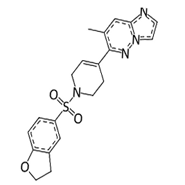 Cc1cc2nccn2nc1C1=CCN(S(=O)(=O)c2ccc3c(c2)CCO3)CC1